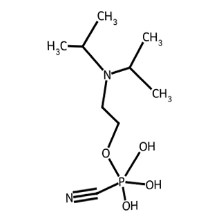 CC(C)N(CCOP(O)(O)(O)C#N)C(C)C